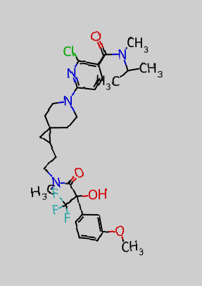 COc1cccc(C(O)(C(=O)N(C)CCC2CC23CCN(c2ccc(C(=O)N(C)C(C)C)c(Cl)n2)CC3)C(F)(F)F)c1